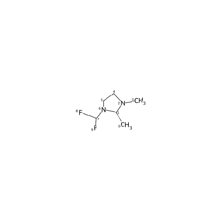 CC1N(C)CCN1C(F)F